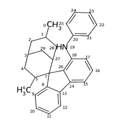 CC1CC2CC(C)C3(c4ccccc4-c4cccc(Nc5ccccc5)c43)C(C1)C2